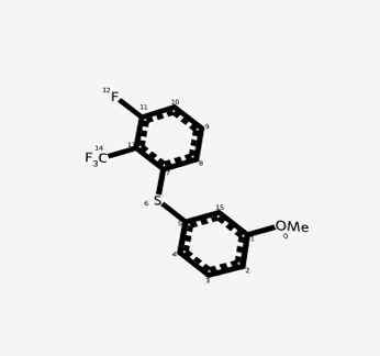 COc1cccc(Sc2cccc(F)c2C(F)(F)F)c1